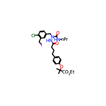 CCCNC(=O)N(Cc1ccc(Cl)c(CI)c1)NC(=O)CCCc1ccc(OC(C)(C)C(=O)OCC)cc1